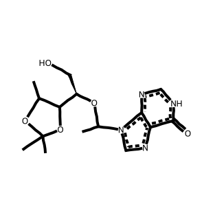 CC1OC(C)(C)OC1[C@@H](CO)OC(C)n1cnc2c(=O)[nH]cnc21